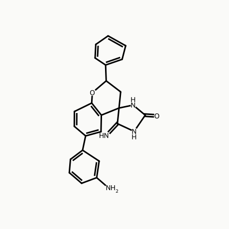 N=C1NC(=O)NC12CC(c1ccccc1)Oc1ccc(-c3cccc(N)c3)cc12